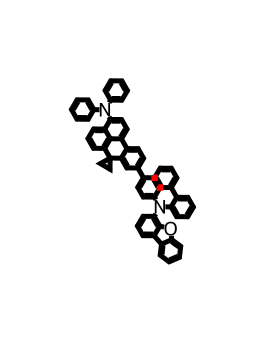 c1ccc(-c2ccccc2N(c2ccc(-c3ccc4c(c3)C3(CC3)c3cccc5c(N(c6ccccc6)c6ccccc6)ccc-4c35)cc2)c2cccc3c2oc2ccccc23)cc1